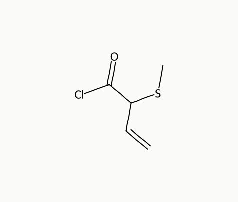 C=CC(SC)C(=O)Cl